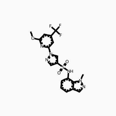 COc1cc(C(F)(F)F)cc(-n2cc(S(=O)(=O)Nc3cccc4cnn(C)c34)cn2)n1